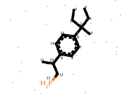 CCC(C)(CC)c1ccc(C(C)CP)cc1